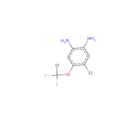 Nc1cc(Cl)c(OC(F)(F)Cl)cc1N